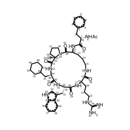 CC(=O)N[C@@H](Cc1ccccc1)C(=O)NC1CCCNC(=O)C(CCCNC(=N)N)NC(=O)[C@H](Cc2c[nH]c3ccccc23)NC(=O)[C@@H](CC2CCCCC2)NC(=O)[C@@H]2CCCN2C1=O